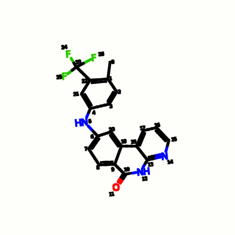 Cc1ccc(Nc2ccc3c(=O)[nH]c4ncccc4c3c2)cc1C(F)(F)F